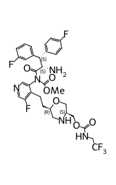 COC(=O)N(C(=O)[C@@H](N)[C@@H](c1ccc(F)cc1)c1cccc(F)c1)c1cncc(F)c1CC[C@@H]1CN[C@H](COC(=O)NCC(F)(F)F)CO1